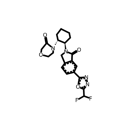 O=C1COCCN1[C@@H]1CCCC[C@H]1N1Cc2ccc(-c3nnc(C(F)F)o3)cc2C1=O